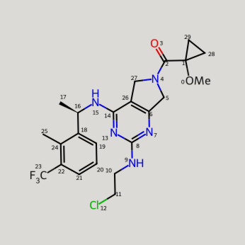 COC1(C(=O)N2Cc3nc(NCCCl)nc(N[C@H](C)c4cccc(C(F)(F)F)c4C)c3C2)CC1